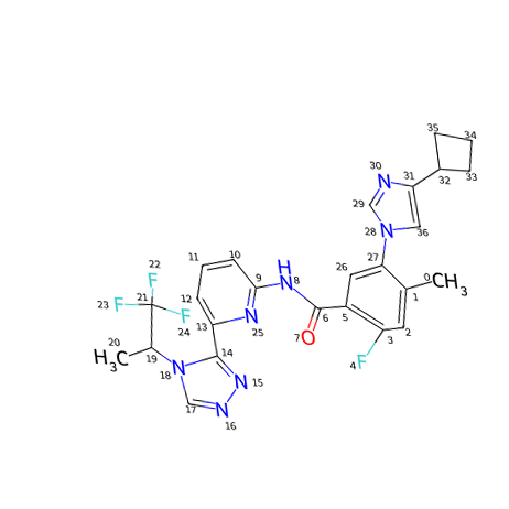 Cc1cc(F)c(C(=O)Nc2cccc(-c3nncn3C(C)C(F)(F)F)n2)cc1-n1cnc(C2CCC2)c1